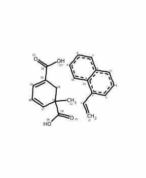 C=Cc1cccc2ccccc12.CC1(C(=O)O)C=CC=C(C(=O)O)C1